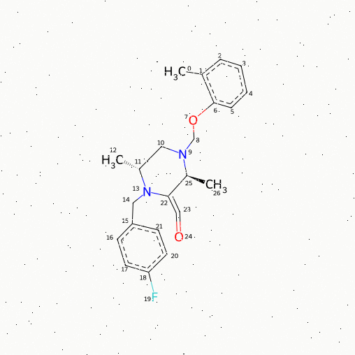 Cc1ccccc1OCN1C[C@@H](C)N(Cc2ccc(F)cc2)C(=C=O)[C@@H]1C